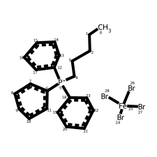 CCCCC[P+](c1ccccc1)(c1ccccc1)c1ccccc1.[Br][Fe-]([Br])([Br])[Br]